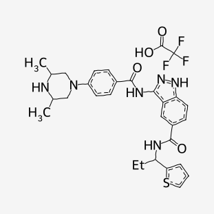 CCC(NC(=O)c1ccc2[nH]nc(NC(=O)c3ccc(N4CC(C)NC(C)C4)cc3)c2c1)c1cccs1.O=C(O)C(F)(F)F